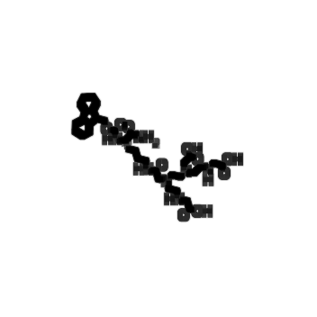 NC(=O)[C@H](CCCCNC(=O)CN(CCNCC(=O)O)CCN(CCNCC(=O)O)CC(=O)O)NC(=O)OCC1c2ccccc2-c2ccccc21